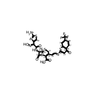 Nc1nc(C(=NO)C(=O)NC2C(=O)N3C(C(=O)O)=C(C=CSc4cc(=O)c5ccc(C(F)(F)F)cc5s4)CS[C@@H]23)cs1